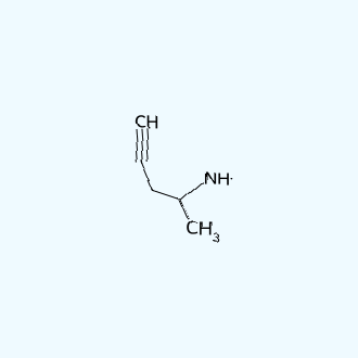 C#CCC(C)[NH]